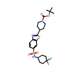 CC(C)(C)OC(=O)N1CCC(c2nc3ccc(S(=O)(=O)NC4CCC(F)(F)CC4)cc3s2)CC1